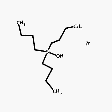 CCCC[Si](O)(CCCC)CCCC.[Zr]